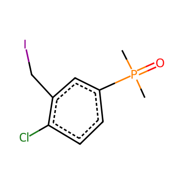 CP(C)(=O)c1ccc(Cl)c(CI)c1